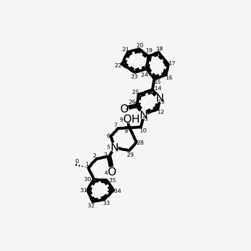 C[C@H](CC(=O)N1CCC(O)(Cn2cnc(-c3cccc4ccccc34)cc2=O)CC1)c1ccccc1